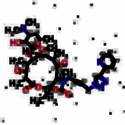 CC[C@H]1OC(=O)[C@H](C)C(=O)[C@H](C)[C@@H](O[C@@H]2O[C@H](C)CC(N(C)C)C2O)[C@](C)(OC)C[C@@H](C)C(=O)[C@H](C)[C@H]2N(CC#CCn3cc(-c4ccccn4)nn3)C(=O)O[C@]12C